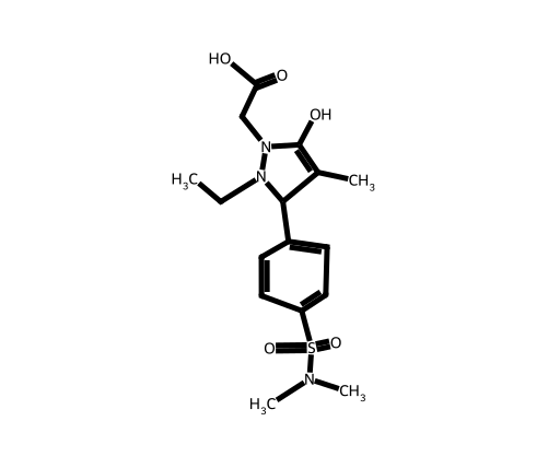 CCN1C(c2ccc(S(=O)(=O)N(C)C)cc2)C(C)=C(O)N1CC(=O)O